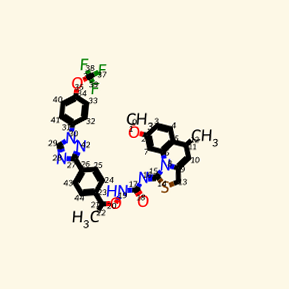 COc1ccc2c(c1)N1C(=CC2C)CS/C1=N\C(=O)NOC(C)c1ccc(-c2ncn(-c3ccc(OC(F)(F)F)cc3)n2)cc1